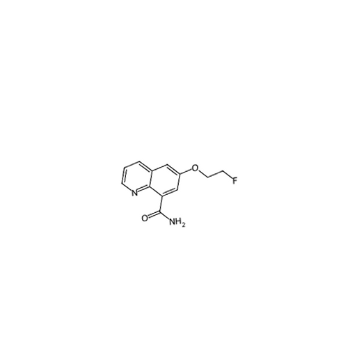 NC(=O)c1cc(OCCF)cc2cccnc12